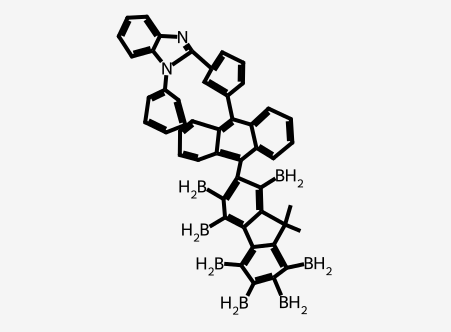 Bc1c(B)c(B)c2c(c1B)-c1c(B)c(B)c(-c3c4ccccc4c(-c4cccc(-c5nc6ccccc6n5-c5ccccc5)c4)c4ccccc34)c(B)c1C2(C)C